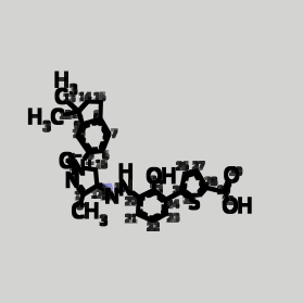 CC1=N[N+]([O-])(c2ccc3c(c2)C(C)(C)CC3)C/C1=N\Nc1cccc(-c2ccc(C(=O)O)s2)c1O